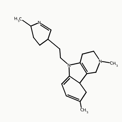 CC1=CC=C2C(C1)C1=C(CCN(C)C1)N2CCC1C=NC(C)CC1